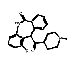 CN1CCC(C(=O)C2c3ccccc3C(=O)Nc3cccc(F)c32)CC1